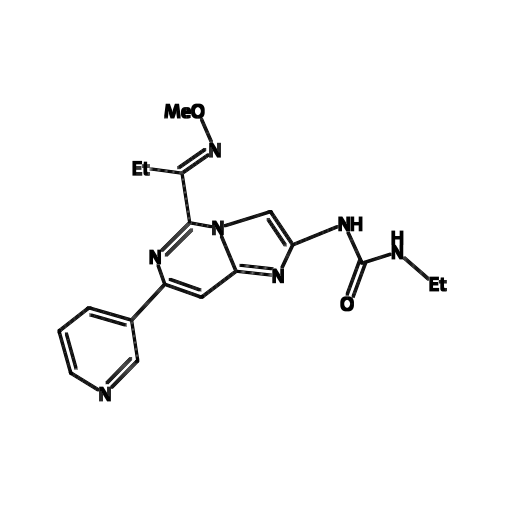 CCNC(=O)Nc1cn2c(C(CC)=NOC)nc(-c3cccnc3)cc2n1